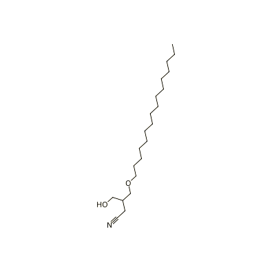 CCCCCCCCCCCCCCCCOCC(CO)CC#N